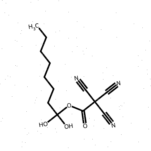 CCCCCCCC(O)(O)OC(=O)C(C#N)(C#N)C#N